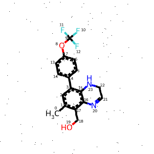 Cc1cc(-c2ccc(OC(F)(F)F)cc2)c2c(c1CO)N=CCN2